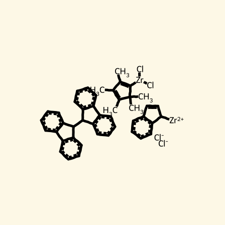 CC1=C(C)C(C)(C)[C]([Zr]([Cl])[Cl])=C1C.[Cl-].[Cl-].[Zr+2][CH]1C=Cc2ccccc21.c1ccc2c(c1)-c1ccccc1C2C1c2ccccc2-c2ccccc21